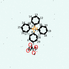 [O]=[Mn](=[O])(=[O])[O-].c1ccc([P+](c2ccccc2)(c2ccccc2)c2ccccc2)cc1